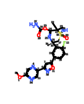 COc1cnc(-c2cc(-c3ccc(F)c([C@]4(C)C[S@](=N)(=O)C(C)(C)C(OC(N)=O)=N4)c3)on2)cn1